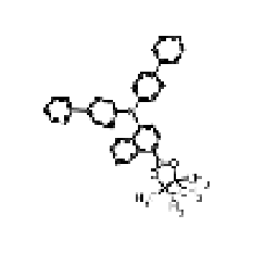 CC1(C)OB(c2ccc(N(c3ccc(-c4ccccc4)cc3)c3ccc(-c4ccccc4)cc3)c3ccccc23)OC1(C)C